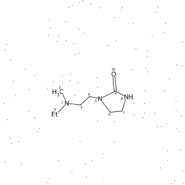 CCN(C)CCN1CCNC1=O